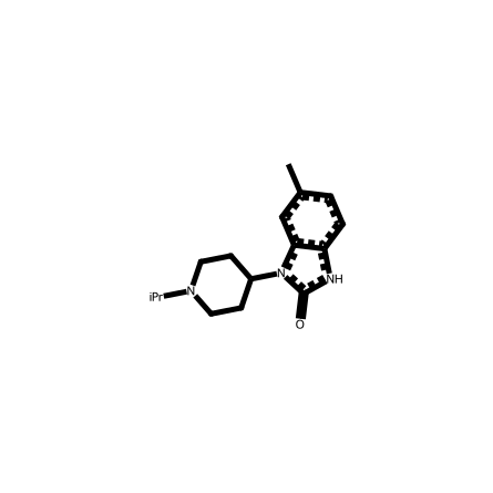 Cc1ccc2[nH]c(=O)n(C3CCN(C(C)C)CC3)c2c1